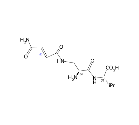 CC(C)[C@H](NC(=O)[C@@H](N)CNC(=O)/C=C/C(N)=O)C(=O)O